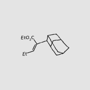 CCC=C(C(=O)OCC)C1C2CC3CC(C2)CC1C3